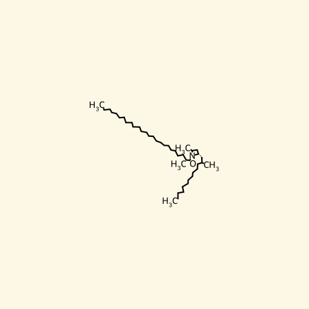 CCCCCCCCCCCCCCCCCCCCCCCC(C)C(=O)N1C(C)C[C@@H]1CC(C)CCCCCCCCCCC